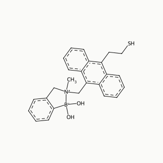 C[N+]1(Cc2c3ccccc3c(CCS)c3ccccc23)Cc2ccccc2[B-]1(O)O